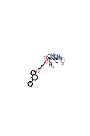 CC(C)(N)CC(N)C(C)(C)C(=O)OCCCCCOc1cccc2c1CCCC(c1ccccc1)=C2